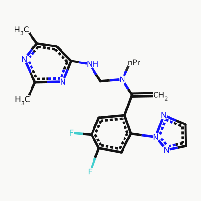 C=C(c1cc(F)c(F)cc1-n1nccn1)N(CCC)CNc1cc(C)nc(C)n1